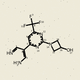 N=C/C(=C\N)c1cc(C(F)(F)F)nc(N2CC(O)C2)n1